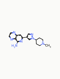 CN1CCC(n2cc(-c3cc4nccnc4c(N)n3)cn2)CC1